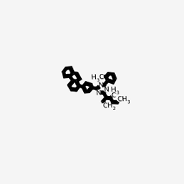 C=C/C(=C(C)\C=C/C)c1nc(-c2ccc(-c3cccc4c5c(ccc34)=CCCC=5)cc2)nc(-c2ccccc2C)n1